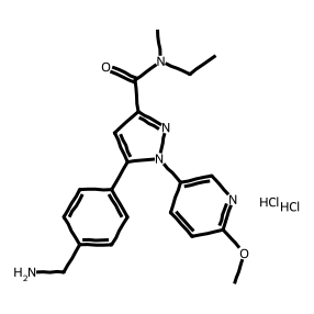 CCN(C)C(=O)c1cc(-c2ccc(CN)cc2)n(-c2ccc(OC)nc2)n1.Cl.Cl